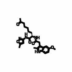 COc1ccc2[nH]c(C)c(CC(=O)N[C@@H](CCCCCC(C)=O)C(=O)Nc3cc(C)on3)c2c1